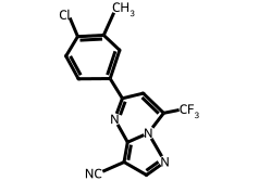 Cc1cc(-c2cc(C(F)(F)F)n3ncc(C#N)c3n2)ccc1Cl